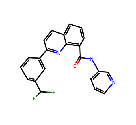 O=C(Nc1cccnc1)c1cccc2ccc(-c3cccc(C(F)F)c3)nc12